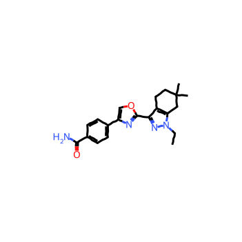 CCn1nc(-c2nc(-c3ccc(C(N)=O)cc3)co2)c2c1CC(C)(C)CC2